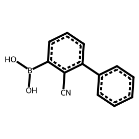 N#Cc1c(B(O)O)cccc1-c1ccccc1